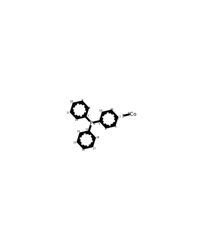 [Co][I].c1ccc(P(c2ccccc2)c2ccccc2)cc1